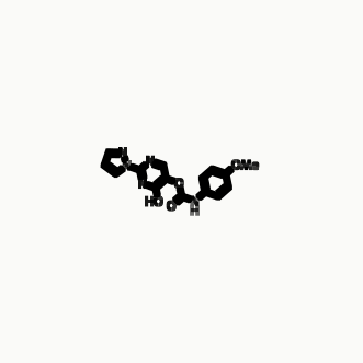 COc1ccc(NC(=O)Oc2cnc(-n3cccn3)nc2O)cc1